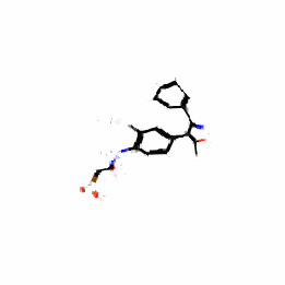 CC(=O)Nc1cc(-c2c(-c3ccccc3)noc2C)ccc1NC(=O)C=S(=O)=O